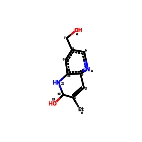 CCC1=Cc2ncc(CO)cc2NC1O